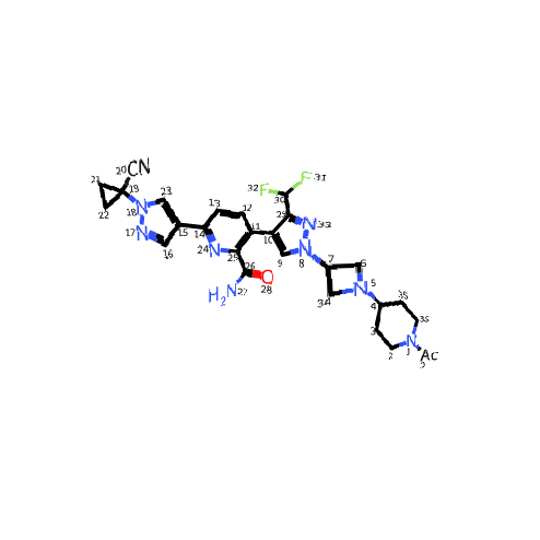 CC(=O)N1CCC(N2CC(n3cc(-c4ccc(-c5cnn(C6(C#N)CC6)c5)nc4C(N)=O)c(C(F)F)n3)C2)CC1